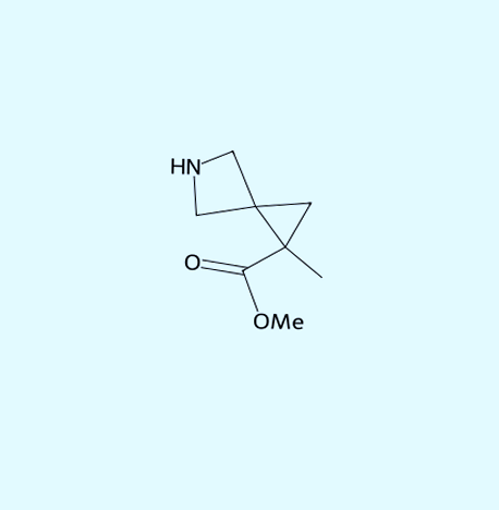 COC(=O)C1(C)CC12CNC2